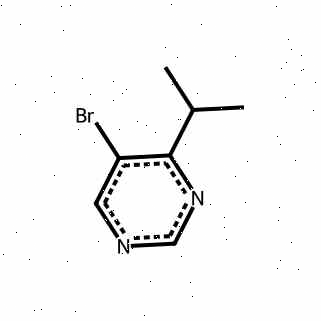 CC(C)c1ncncc1Br